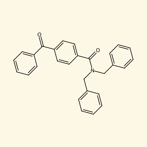 O=C(c1ccccc1)c1ccc(C(=O)N(Cc2ccccc2)Cc2ccccc2)cc1